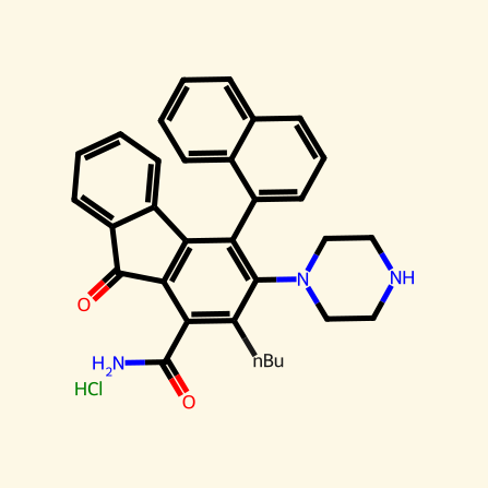 CCCCc1c(C(N)=O)c2c(c(-c3cccc4ccccc34)c1N1CCNCC1)-c1ccccc1C2=O.Cl